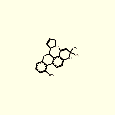 COc1cccc2c1-c1ccc3c(c1C(C1C=CCC1)O2)C(C)=CC(C)(C)N3